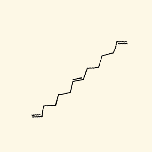 C=CCCCC/C=C/CCCCC=C